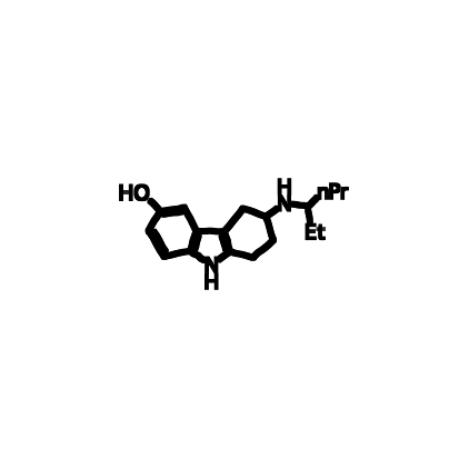 CCCC(CC)NC1CCc2[nH]c3ccc(O)cc3c2C1